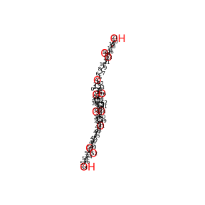 CC1CC(OCCCCCCCCOC(=O)CCCCCO)=CC=C1C(=O)Oc1ccc2cc(OC(=O)c3ccc(OCCCCCCCCOC(=O)CCCCCO)cc3)ccc2c1